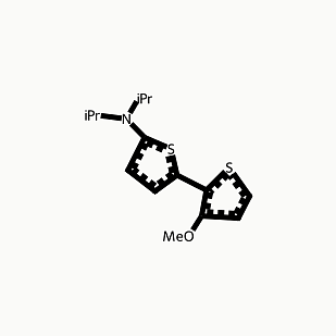 COc1ccsc1-c1ccc(N(C(C)C)C(C)C)s1